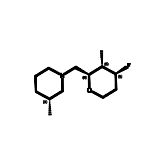 C[C@@H]1CCCN(C[C@@H]2OCC[C@H](F)[C@H]2C)C1